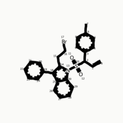 C=CC(c1ccc(C)cc1)S(=O)(=O)n1c(CCBr)c(-c2ccccc2)c2ccccc21